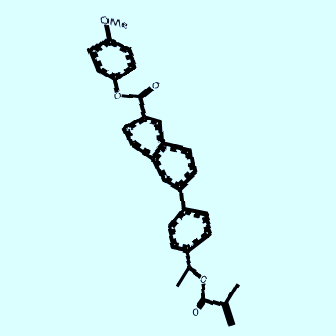 C=C(C)C(=O)OC(C)c1ccc(-c2ccc3cc(C(=O)Oc4ccc(OC)cc4)ccc3c2)cc1